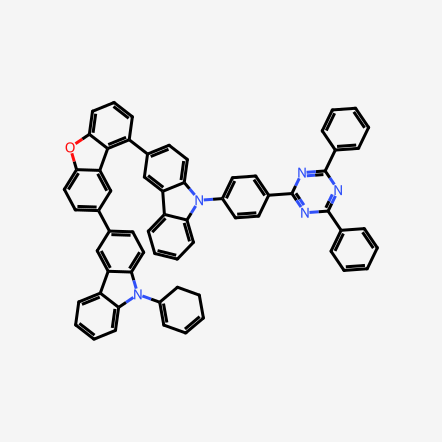 C1=CCCC(n2c3ccccc3c3cc(-c4ccc5oc6cccc(-c7ccc8c(c7)c7ccccc7n8-c7ccc(-c8nc(-c9ccccc9)nc(-c9ccccc9)n8)cc7)c6c5c4)ccc32)=C1